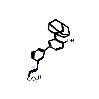 O=C(O)/C=C/c1cccc(-c2ccc(O)c(C34CC5CC(CC(C5)C3)C4)c2)c1